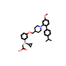 COc1ccc(-c2ccc(C(C)C)cc2)c(N2CCC(COc3cccc([Si@@H](CC(=O)O)C4CC4)c3)CC2)c1